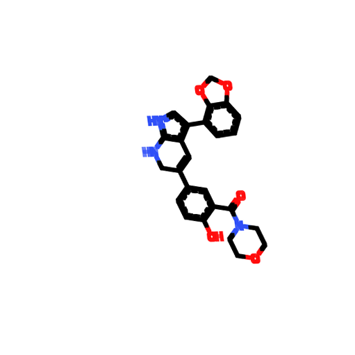 O=C(c1cc(C2=Cc3c(-c4cccc5c4OCO5)c[nH]c3NC2)ccc1O)N1CCOCC1